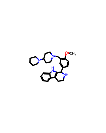 COc1ccc(C2NCCc3c2[nH]c2ccccc32)cc1CN1CCC(N2CCCCC2)CC1